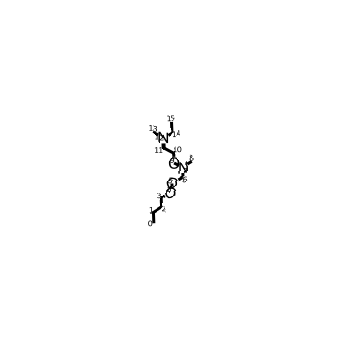 CCCCOOCN(C)OCCN(C)CC